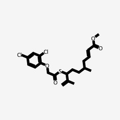 C=C(C)C(CCC(C)CC=CC(=O)OC)SC(=O)COc1ccc(Cl)cc1Cl